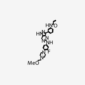 C=CC(=O)Nc1cccc(-c2n[nH]c3cnc(Nc4ccc(N5CCN(CCOC)CC5)c(F)c4)nc23)c1